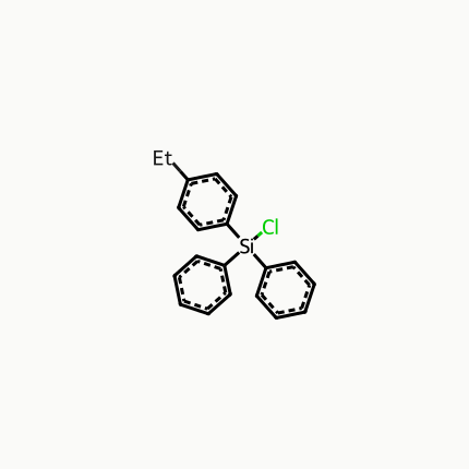 CCc1ccc([Si](Cl)(c2ccccc2)c2ccccc2)cc1